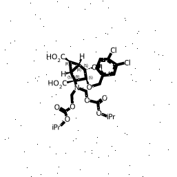 CC(C)OC(=O)OCN(COC(=O)OC(C)C)[C@]1(C(=O)O)[C@@H]2[C@@H](C(=O)O)[C@@H]2[C@H](O)[C@H]1OCc1ccc(Cl)c(Cl)c1